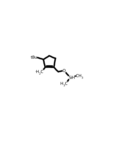 [CH2]C1=C(CO[SiH](C)C)CCC1C(C)(C)C